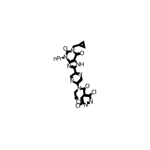 C#CCN(C(=O)c1cc(Cl)nnc1Cl)c1cnc(-c2nc3c([nH]2)c(=O)n(CC2CC2)c(=O)n3CCC)cn1